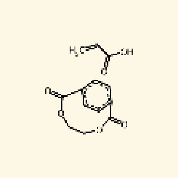 C=CC(=O)O.O=C1OCCOC(=O)c2ccc1cc2